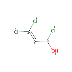 OC(Cl)C=C(Cl)Cl